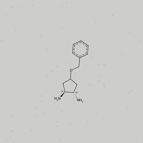 N[C@H]1CC(OCc2ccccc2)C[C@@H]1N